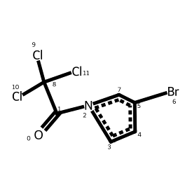 O=C(n1[c]cc(Br)c1)C(Cl)(Cl)Cl